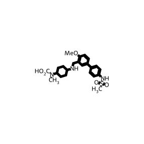 COc1ccc(-c2ccc(NS(C)(=O)=O)cc2)cc1CNC1CCC(N(C)C(=O)O)CC1